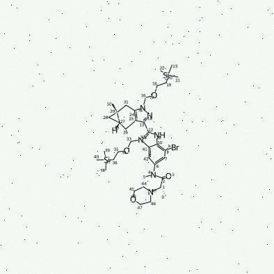 C[C@@H](C(=O)N(C)c1cc(Br)c2[nH]c(-c3nn(COCC[Si](C)(C)C)c4c3C[C@@H]3C[C@]3(C)C4)[n+](COCC[Si](C)(C)C)c2c1)N1CCOCC1